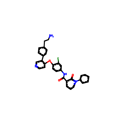 NCCc1ccc(-c2cnccc2Oc2ccc(NC(=O)c3cccn(-c4ccccc4)c3=O)cc2F)cc1